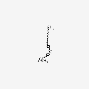 CCCCCCCCCCCCCOc1ccc(C=CC(=O)c2ccc(SCCCC(C)C)cc2)cc1